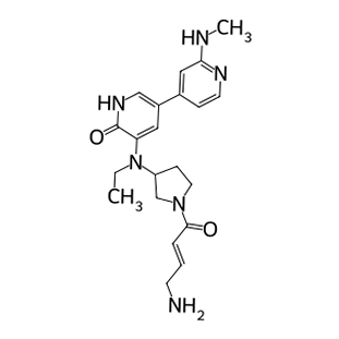 CCN(c1cc(-c2ccnc(NC)c2)c[nH]c1=O)C1CCN(C(=O)/C=C/CN)C1